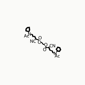 CC(=O)N(/C=C/C=C(\C#N)C(=O)OCCOC(=O)/C(C#N)=C/C=C/N(C(C)=O)c1ccccc1)c1ccccc1